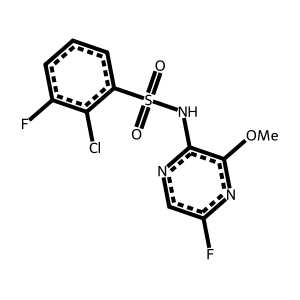 COc1nc(F)cnc1NS(=O)(=O)c1cccc(F)c1Cl